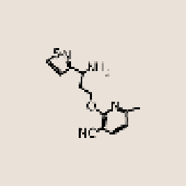 Cc1ccc(C#N)c(OCCC(N)c2ccsn2)n1